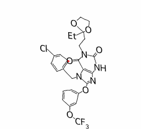 CCC1(CCn2c(=O)[nH]c3nc(Oc4cccc(OC(F)(F)F)c4)n(Cc4ccc(Cl)cc4)c3c2=O)OCCO1